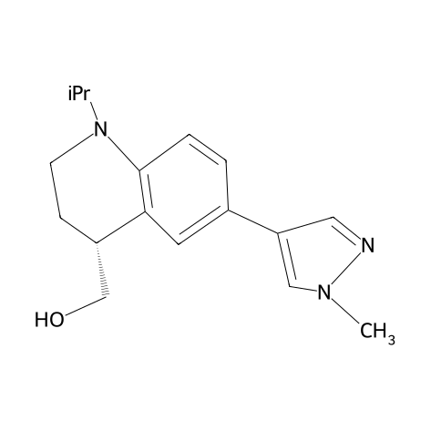 CC(C)N1CC[C@@H](CO)c2cc(-c3cnn(C)c3)ccc21